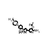 CC(C)n1nc(-c2cnc(N)c(OC(F)F)c2)cc1[C@@H]1CC[C@@H](N2CCCN(C)CC2)C[C@@H]1C